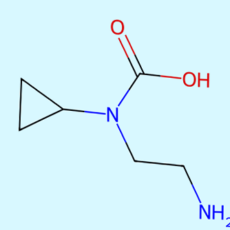 NCCN(C(=O)O)C1CC1